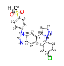 CS(=O)(=O)c1ccc(-n2cnc3ccc(-c4ccnn4-c4ccc(Cl)cc4)cc32)cc1